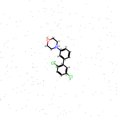 Clc1ccc(Cl)c(-c2cccc(N3CCOCC3)c2)c1